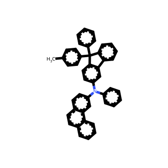 Cc1ccc(C2(c3ccccc3)c3ccccc3-c3cc(N(c4ccccc4)c4ccc5ccc6ccccc6c5c4)ccc32)cc1